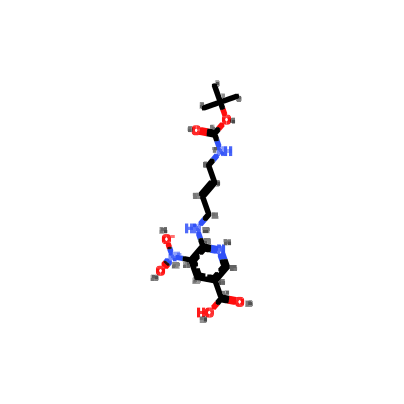 CC(C)(C)OC(=O)NC/C=C/CNc1ncc(C(=O)O)cc1[N+](=O)[O-]